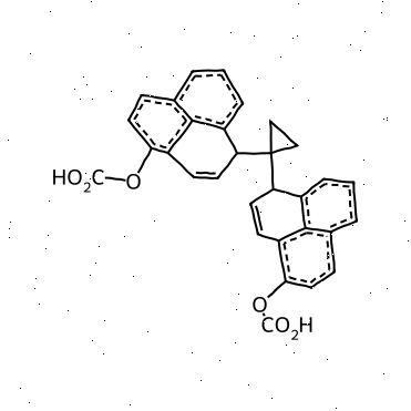 O=C(O)Oc1ccc2cccc3c2c1C=CC3C1(C2C=Cc3c(OC(=O)O)ccc4cccc2c34)CC1